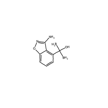 BC(B)(O)c1cccc2onc(N)c12